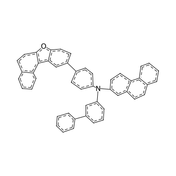 c1ccc(-c2cccc(N(c3ccc(-c4ccc5oc6ccc7ccccc7c6c5c4)cc3)c3ccc4c(ccc5ccccc54)c3)c2)cc1